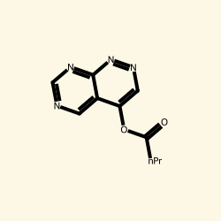 CCCC(=O)Oc1cnnc2ncncc12